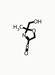 CC1(CO)N=C(B=O)CO1